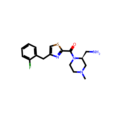 CN1CCN(C(=O)c2nc(Cc3ccccc3F)cs2)[C@@H](CN)C1